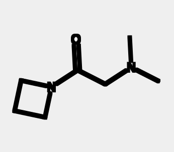 CN(C)CC(=O)N1CCC1